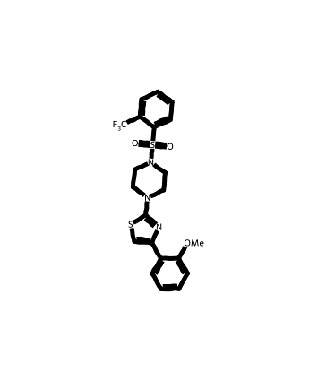 COc1ccccc1-c1csc(N2CCN(S(=O)(=O)c3ccccc3C(F)(F)F)CC2)n1